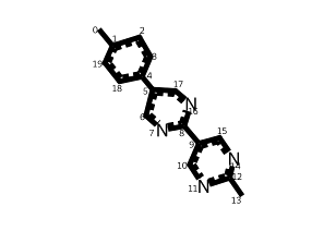 Cc1ccc(-c2cnc(-c3cnc(C)nc3)nc2)cc1